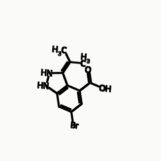 CC(C)=C1NNc2cc(Br)cc(C(=O)O)c21